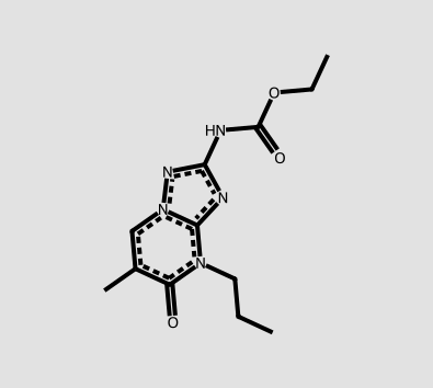 CCCn1c(=O)c(C)cn2nc(NC(=O)OCC)nc12